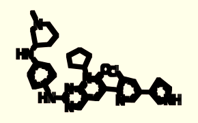 CN1CCCC(Nc2ccc(Nc3ncc4cc(-c5ncc(-c6cc[nH]c6)cc5Cl)c(=O)n(C5CCCC5)c4n3)cc2)C1